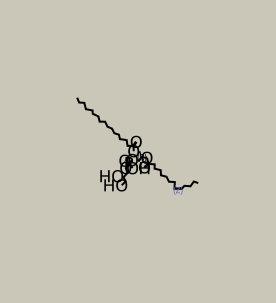 CCCC/C=C\CCCCCCCC(=O)O[C@H](COC(=O)CCCCCCCCCCCCCCCC)COP(=O)(O)OCC(O)CO